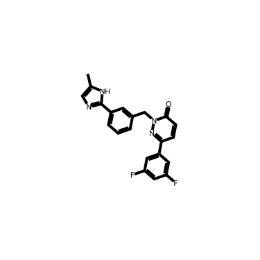 Cc1cnc(-c2cccc(Cn3nc(-c4cc(F)cc(F)c4)ccc3=O)c2)[nH]1